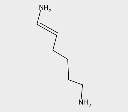 NC=CCCCCN